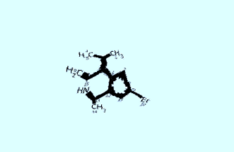 C=CC(=C(C)C)c1ccc(CC)cc1C(C)=N